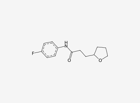 O=C(CCC1CCCO1)Nc1ccc(F)cc1